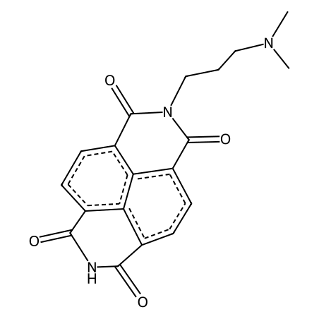 CN(C)CCCN1C(=O)c2ccc3c4c(ccc(c24)C1=O)C(=O)NC3=O